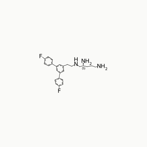 NCCC[C@H](N)CNCCc1cc(-c2ccc(F)cc2)cc(-c2ccc(F)cc2)c1